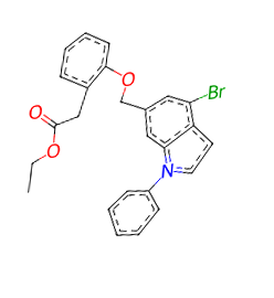 CCOC(=O)Cc1ccccc1OCc1cc(Br)c2ccn(-c3ccccc3)c2c1